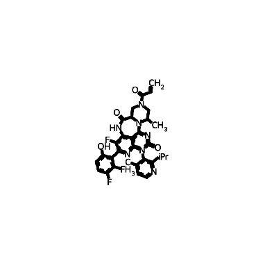 C=CC(=O)N1CC(C)N2c3nc(=O)n(-c4c(C)ccnc4C(C)C)c4nc(-c5c(O)ccc(F)c5F)c(F)c(c34)NC(=O)C2C1